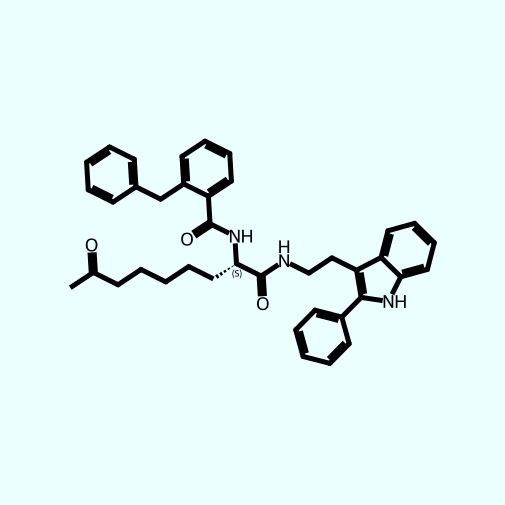 CC(=O)CCCCC[C@H](NC(=O)c1ccccc1Cc1ccccc1)C(=O)NCCc1c(-c2ccccc2)[nH]c2ccccc12